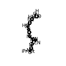 CCC1(C(=O)NC(C)C)CCN(c2ccc(-c3nc(-c4cnn(C5CCC6(CC5)CN(C(=O)CC5(O)CCN(c7ccc(NC8CCC(=O)NC8=O)cc7F)CC5)C6)c4)cn4ncc(C#N)c34)cn2)CC1